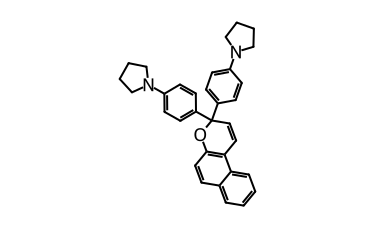 C1=CC(c2ccc(N3CCCC3)cc2)(c2ccc(N3CCCC3)cc2)Oc2ccc3ccccc3c21